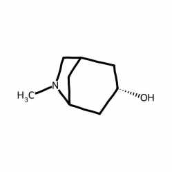 CN1CC2CC1C[C@@H](O)C2